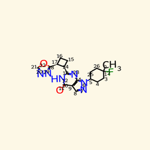 CC1(F)CCC(n2ncc3c(=O)[nH]c([C@@H]4CC[C@@H]4c4nnco4)nc32)CC1